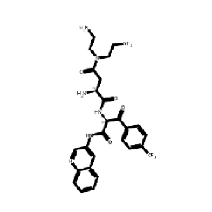 NCCN(CCN)C(=O)C[C@H](N)C(=O)N[C@H](C(=O)Nc1cnc2ccccc2c1)C(=O)c1ccc(C(F)(F)F)cc1